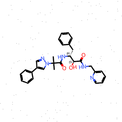 CC(C)(C(=O)N[C@H](Cc1ccccc1)[C@H](O)C(=O)NCc1ccccn1)n1cc(-c2ccccc2)cn1